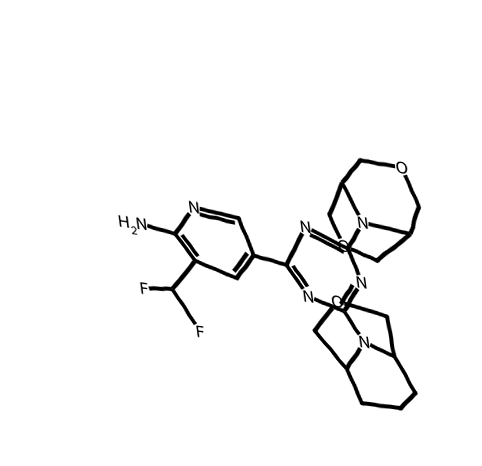 Nc1ncc(-c2nc(N3C4CCCC3COC4)nc(N3C4COCC3COC4)n2)cc1C(F)F